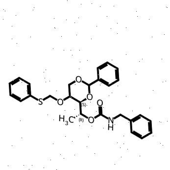 C[C@@H](OC(=O)NCc1ccccc1)[C@@H]1OC(c2ccccc2)OCC1OCSc1ccccc1